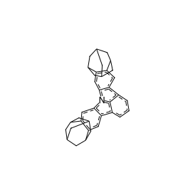 c1cc2c3cc4c(cc3n3c5cc6c(cc5c(c1)c23)C1CC2CC(C1)CC6C2)C1CC2CC(CC4C2)C1